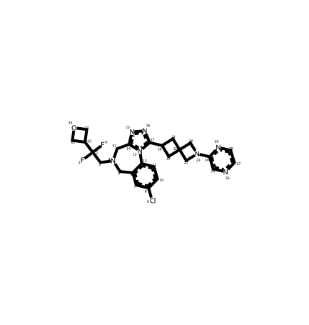 FC(F)(CN1Cc2cc(Cl)ccc2-n2c(nnc2C2CC3(C2)CN(c2cnccn2)C3)C1)C1COC1